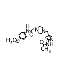 COc1ccc(NC(=O)CN2CCN(Cc3cnc(NC(C)=O)s3)CC2)cc1